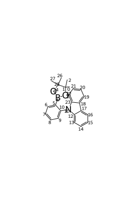 CC1(C)OB(c2ccccc2-n2c3ccccc3c3ccccc32)OC1(C)C